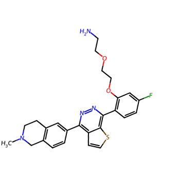 CN1CCc2cc(-c3nnc(-c4ccc(F)cc4OCCOCCN)c4sccc34)ccc2C1